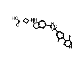 Cc1cc(-c2nc(-c3ccc4c(c3)CCC4N[C@H]3C[C@H](C(=O)O)C3)no2)ccc1-c1ccncc1F